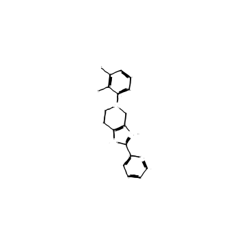 Cc1cccc(N2CCc3oc(-c4ccccn4)nc3C2)c1Cl